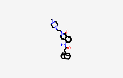 CN1CCN(CCn2ccc3c(NC(=O)CC45CC6CC(CC(C6)C4)C5)cccc3c2=O)CC1